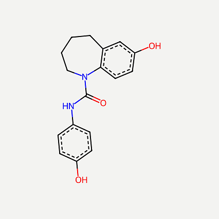 O=C(Nc1ccc(O)cc1)N1CCCCc2cc(O)ccc21